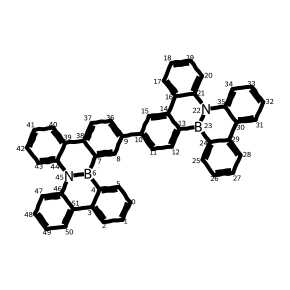 c1ccc2c(c1)B1c3cc(-c4ccc5c(c4)-c4ccccc4N4B5c5ccccc5-c5ccccc54)ccc3-c3ccccc3N1c1ccccc1-2